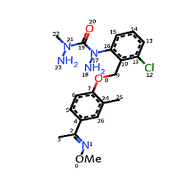 CON=C(C)c1ccc(OCc2c(Cl)cccc2N(N)C(=O)N(C)N)c(C)c1